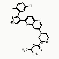 CC(C)OC(=O)[C@H]1CN(c2cnc3ccc(-c4c[nH]nc4-c4cc(Cl)ccc4F)nc3c2)CCN1